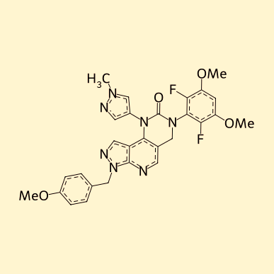 COc1ccc(Cn2ncc3c4c(cnc32)CN(c2c(F)c(OC)cc(OC)c2F)C(=O)N4c2cnn(C)c2)cc1